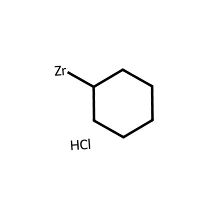 Cl.[Zr][CH]1CCCCC1